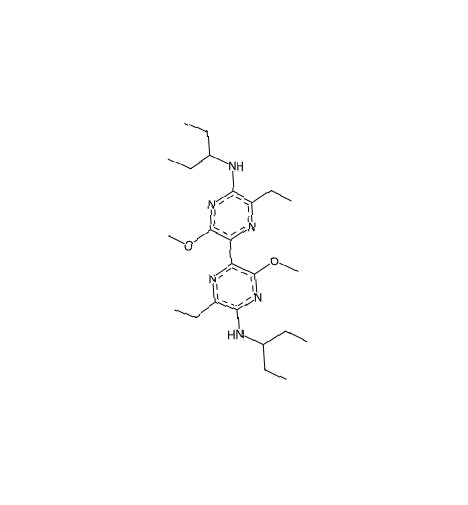 CCc1nc(-c2nc(CC)c(NC(CC)CC)nc2OC)c(OC)nc1NC(CC)CC